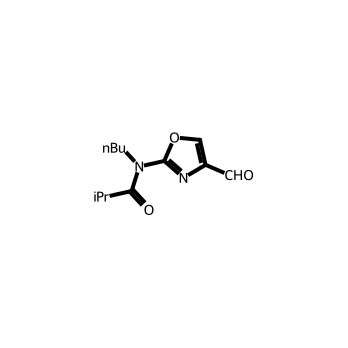 CCCCN(C(=O)C(C)C)c1nc(C=O)co1